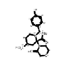 CCCCC(=O)C1(N2CCOCC2=O)CC(C(=O)O)CCN1Cc1ccc(I)cc1